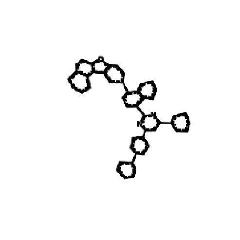 c1ccc(-c2ccc(-c3cc(-c4ccccc4)nc(-c4ccc(-c5ccc6oc7ccc8ccccc8c7c6c5)c5ccccc45)n3)cc2)cc1